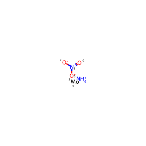 O=[N+]([O-])[O-].[Mo].[NH4+]